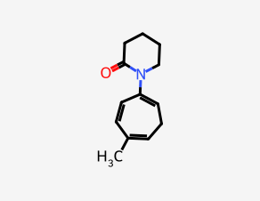 CC1=CCC=C(N2CCCCC2=O)C=C1